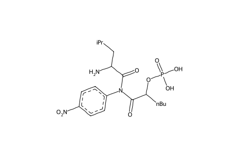 CCCCC(OP(=O)(O)O)C(=O)N(C(=O)C(N)CC(C)C)c1ccc([N+](=O)[O-])cc1